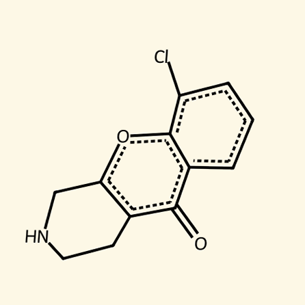 O=c1c2c(oc3c(Cl)cccc13)CNCC2